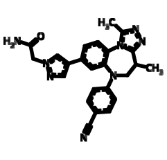 Cc1nnc2n1-c1ccc(-c3cnn(CC(N)=O)c3)cc1N(c1ccc(C#N)cc1)CC2C